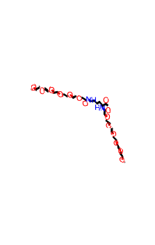 COCCOCCOCCOCCOCCOCC(=O)NCCCCC(NC(=O)COCCOCCOCCOCCOCCOC)C(C)=O